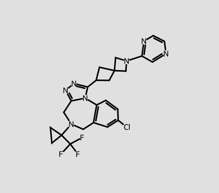 FC(F)(F)C1(N2Cc3cc(Cl)ccc3-n3c(nnc3C3CC4(C3)CN(c3cnccn3)C4)C2)CC1